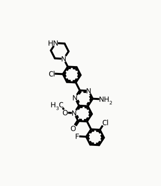 COn1c(=O)c(-c2c(F)cccc2Cl)cc2c(N)nc(-c3ccc(N4CCNCC4)c(Cl)c3)nc21